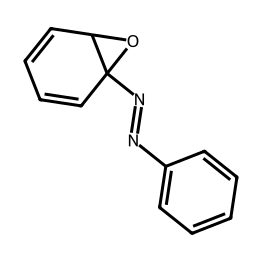 C1=CC2OC2(N=Nc2ccccc2)C=C1